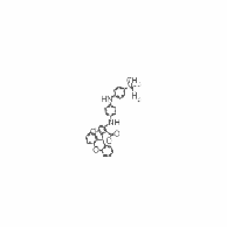 CN(C)c1ccc(Nc2ccc(Nc3ccc(Cl)c4c3C(=O)OC43c4ccccc4Oc4ccccc43)cc2)cc1